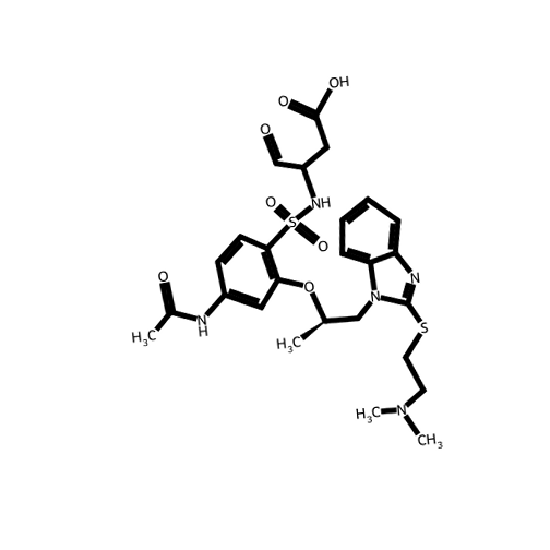 CC(=O)Nc1ccc(S(=O)(=O)NC(C=O)CC(=O)O)c(O[C@H](C)Cn2c(SCCN(C)C)nc3ccccc32)c1